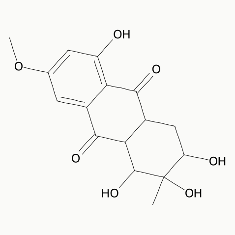 COc1cc(O)c2c(c1)C(=O)C1C(CC(O)C(C)(O)C1O)C2=O